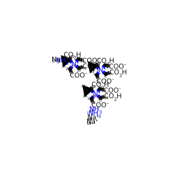 N.N.N.O=C([O-])C[N+](CC(=O)[O-])(CC(=O)O)C1(C(=O)O)CC1.O=C([O-])C[N+](CC(=O)[O-])(CC(=O)O)C1(C(=O)O)CC1.O=C([O-])C[N+](CC(=O)[O-])(CC(=O)O)C1(C(=O)O)CC1.[Na+].[Na+].[Na+]